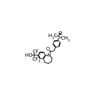 C=S(C)(=O)c1ccc(CC(=O)N2CCCCc3cc(C(O)(C(F)(F)F)C(F)(F)F)ccc32)cc1